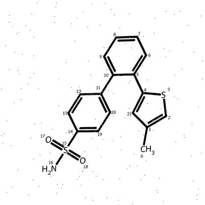 Cc1csc(-c2ccccc2-c2ccc(S(N)(=O)=O)cc2)c1